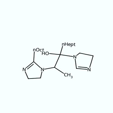 CCCCCCCCC1=NCCN1C(C)C(O)(CCCCCCC)N1C=NCC1